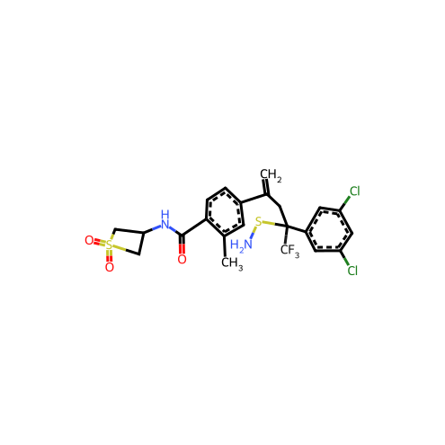 C=C(CC(SN)(c1cc(Cl)cc(Cl)c1)C(F)(F)F)c1ccc(C(=O)NC2CS(=O)(=O)C2)c(C)c1